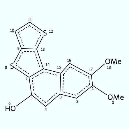 COc1cc2cc(O)c3sc4ccsc4c3c2cc1OC